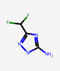 NC1=NC(C(F)F)=N[N]1